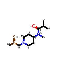 CC(C)C(=O)N(C)C1CCN(CS(C)=S)CC1